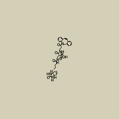 O=C(CCCC[C@@H]1SC[C@@H]2NC(=O)N[C@@H]21)NCC(C(=O)NCCC(=O)N1Cc2ccccc2C#Cc2ccccc21)S(=O)(=O)O